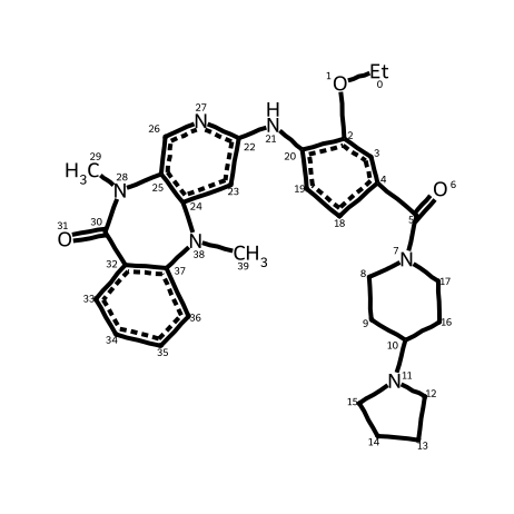 CCOc1cc(C(=O)N2CCC(N3CCCC3)CC2)ccc1Nc1cc2c(cn1)N(C)C(=O)c1ccccc1N2C